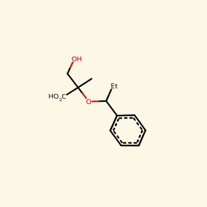 CCC(OC(C)(CO)C(=O)O)c1ccccc1